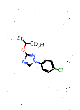 CCC(Oc1ncn(-c2ccc(Cl)cc2)n1)C(=O)O